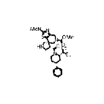 CCC(CC)[C@@H]1C[C@H](c2ccccc2)CCN1C(=O)[C@@H]1CNC[C@]12CN(C(=O)OC)Cc1nc(NC)sc12